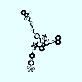 Cc1nn(C)c(COc2ccc(N3CCN(S(=O)(=O)N(C)C)CC3)cc2)c1-c1cccc2c(CCCOc3cccc4ccccc34)c(C(=O)OC(C)(C)C)n(CCN3CCN(CCOCCOCCN4C(=O)c5ccccc5C4=O)CC3)c12